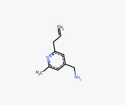 C=CCc1cc(CN)cc(C)n1